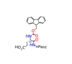 CCCCCNC(=O)[C@H](CCC(=O)O)NC(=O)OCC1c2ccccc2-c2ccccc21